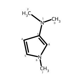 CN(C)c1ccn(C)c1